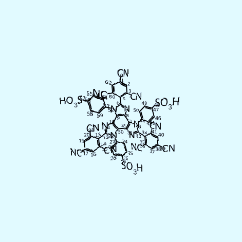 N#Cc1cc(C#N)c(-c2nc3c(c4nc(-c5c(C#N)cc(C#N)cc5C#N)n(-c5ccc(S(=O)(=O)O)cc5)c4c4nc(-c5c(C#N)cc(C#N)cc5C#N)n(-c5ccc(S(=O)(=O)O)cc5)c34)n2-c2ccc(S(=O)(=O)O)cc2)c(C#N)c1